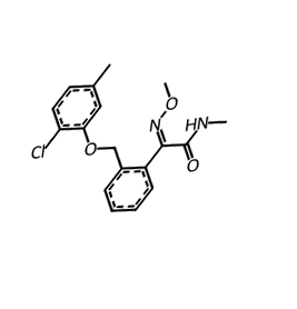 CNC(=O)C(=NOC)c1ccccc1COc1cc(C)ccc1Cl